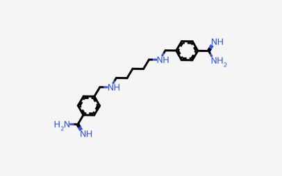 N=C(N)c1ccc(CNCCCCCNCc2ccc(C(=N)N)cc2)cc1